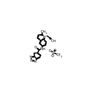 C#CC[n+]1c(C)ccc2cc(NC(=O)C3=CC=C4N=NN=C4C3)ccc21.O=S(=O)([O-])C(F)(F)F